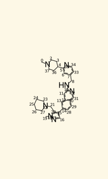 CN1CCC(c2cc(CNc3cc4cc(-c5cnn(C)c5CN5CCCCC5)ccc4cn3)ccn2)CC1